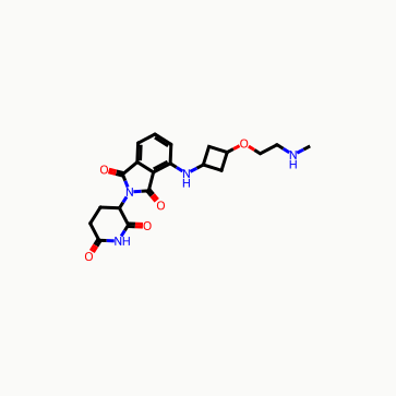 CNCCOC1CC(Nc2cccc3c2C(=O)N(C2CCC(=O)NC2=O)C3=O)C1